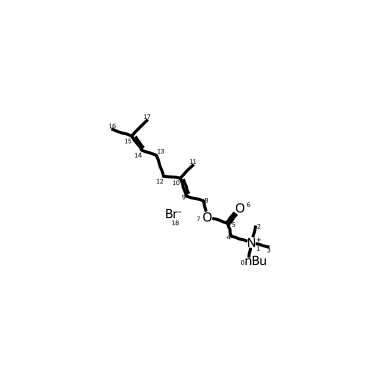 CCCC[N+](C)(C)CC(=O)OC/C=C(\C)CCC=C(C)C.[Br-]